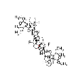 CCC(C)[C@H](NC(=O)OC)C(=O)N1[C@H](c2nc3cc(-c4cc5cc(F)c4CCc4cc(F)c(c(-c6ccc7[nH]c([C@@H]8C[C@@H]9CCCC[C@@H]9N8C(=O)[C@@H](NC(=O)OC)C(C)CC)nc7c6)c4)CC5)ccc3[nH]2)C[C@@H]2CCCC[C@@H]21